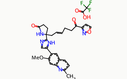 COc1cc2nc(C)ccc2cc1-c1cnc(C2(CC=CCCC(=O)c3ccon3)CCC(=O)N2)[nH]1.O=C(O)C(F)(F)F